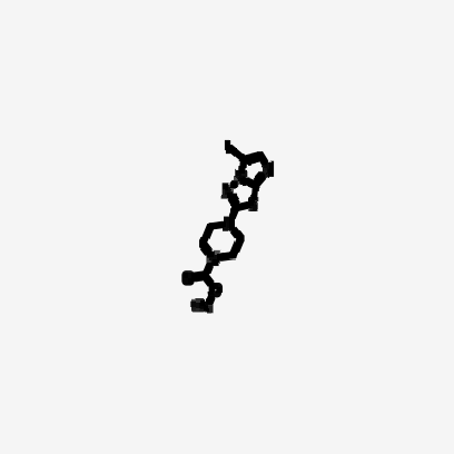 CC(C)(C)OC(=O)N1CCN(c2nn3c(I)cnc3s2)CC1